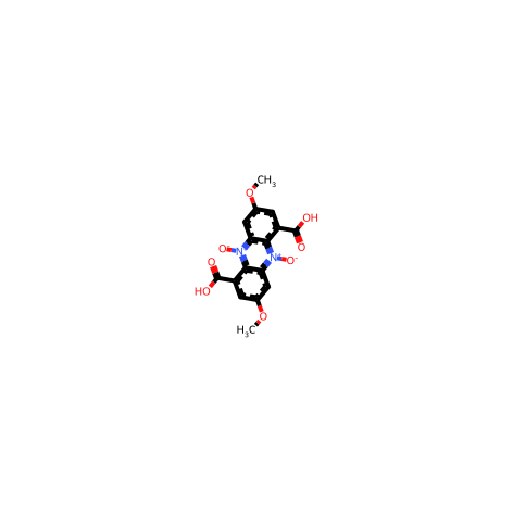 COc1cc(C(=O)O)c2c(c1)[n+]([O-])c1c(C(=O)O)cc(OC)cc1[n+]2[O-]